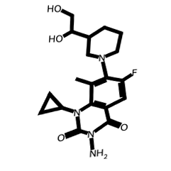 Cc1c(N2CCCC(C(O)CO)C2)c(F)cc2c(=O)n(N)c(=O)n(C3CC3)c12